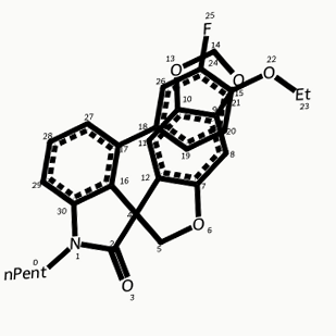 CCCCCN1C(=O)C2(COc3cc4c(cc32)OCO4)c2c(-c3ccc(OCC)c(F)c3)cccc21